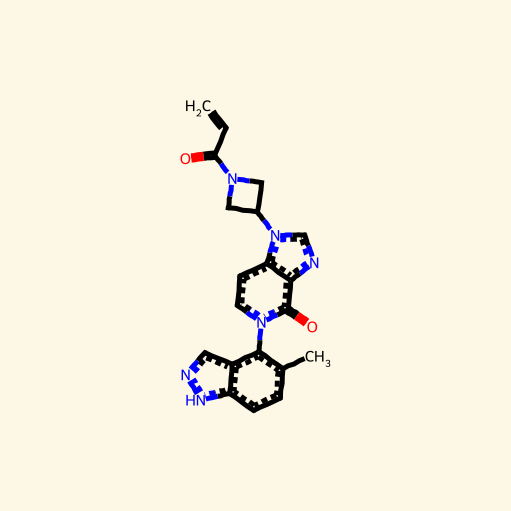 C=CC(=O)N1CC(n2cnc3c(=O)n(-c4c(C)ccc5[nH]ncc45)ccc32)C1